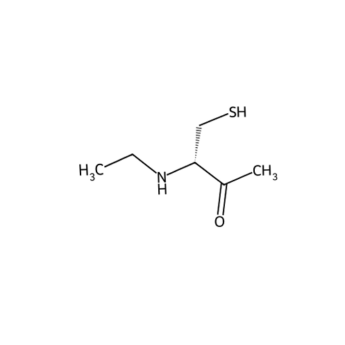 CCN[C@H](CS)C(C)=O